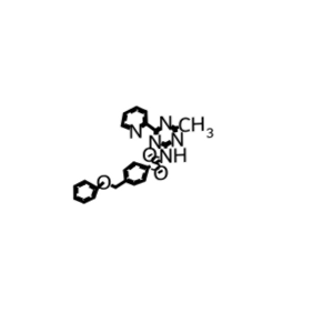 Cc1nc(NS(=O)(=O)c2ccc(COc3ccccc3)cc2)nc(-c2ccccn2)n1